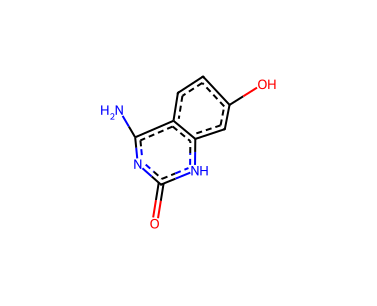 Nc1nc(=O)[nH]c2cc(O)ccc12